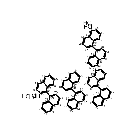 Cl.Cl.Cl.Cl.c1ccc2c(-c3cccc4ccccc34)cccc2c1.c1ccc2c(-c3cccc4ccccc34)cccc2c1.c1ccc2c(-c3cccc4ccccc34)cccc2c1.c1ccc2c(-c3cccc4ccccc34)cccc2c1